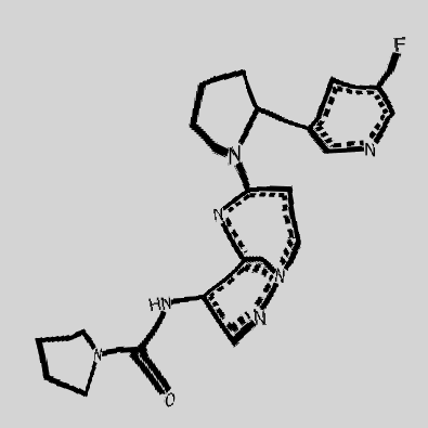 O=C(Nc1cnn2ccc(N3CCCC3c3cncc(F)c3)nc12)N1CCCC1